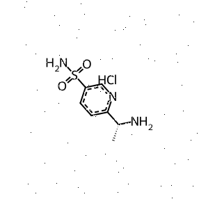 C[C@@H](N)c1ccc(S(N)(=O)=O)cn1.Cl